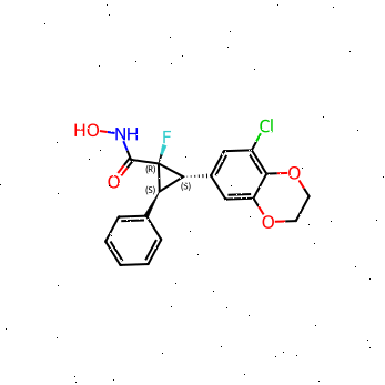 O=C(NO)[C@@]1(F)[C@H](c2ccccc2)[C@H]1c1cc(Cl)c2c(c1)OCCO2